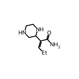 CC/C=C(\C(N)=O)C1CNCCN1